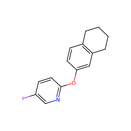 Ic1ccc(Oc2ccc3c(c2)CCCC3)nc1